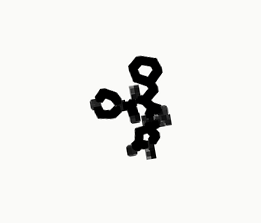 N#CC1(NC(=O)C(CC2CCCCC2)NC(=O)N2CCOCC2)CNC(=O)C1